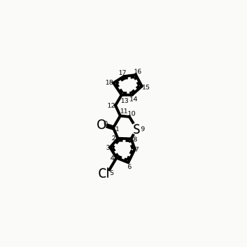 O=C1c2cc(Cl)ccc2SCC1Cc1ccccc1